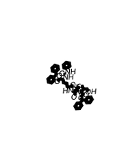 O=C(CCCC(NC(=O)Nc1ccccc1)C(=O)OC(c1ccccc1)c1ccccc1)NC1C(=O)N2C(C(=O)OC(c3ccccc3)c3ccccc3)=C(CO)CS[C@@H]12